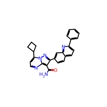 NC(=O)c1c(-c2ccc3ccc(-c4ccccc4)nc3c2)nn2c(C3CCC3)ccnc12